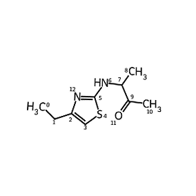 CCc1csc(NC(C)C(C)=O)n1